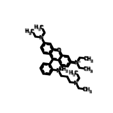 CCN(CC)CCCN(C)c1ccccc1-c1c2ccc(=[N+](CC)CC)cc-2oc2cc(N(CC)CC)ccc12